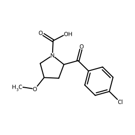 COC1CC(C(=O)c2ccc(Cl)cc2)N(C(=O)O)C1